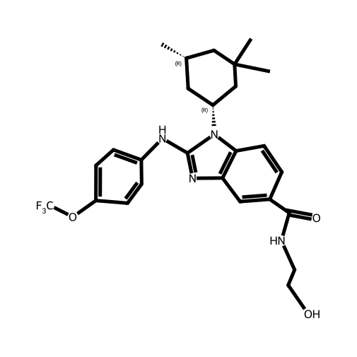 C[C@H]1C[C@@H](n2c(Nc3ccc(OC(F)(F)F)cc3)nc3cc(C(=O)NCCO)ccc32)CC(C)(C)C1